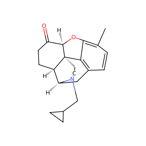 Cc1ccc2c3c1O[C@@H]1C(=O)CC[C@@H]4[C@H](C2)N(CC2CC2)CC[C@@]314